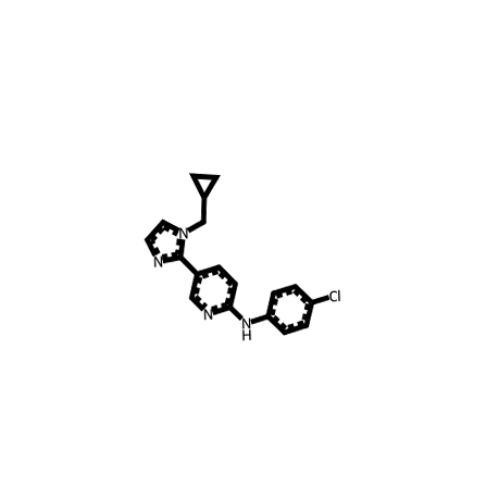 Clc1ccc(Nc2ccc(-c3nccn3CC3CC3)cn2)cc1